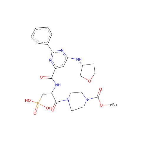 CCCCOC(=O)N1CCN(C(=O)[C@H](CP(=O)(O)O)NC(=O)c2cc(N[C@@H]3CCOC3)nc(-c3ccccc3)n2)CC1